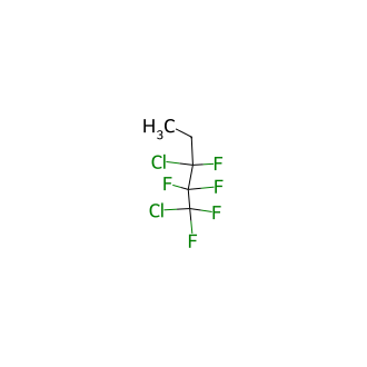 CCC(F)(Cl)C(F)(F)C(F)(F)Cl